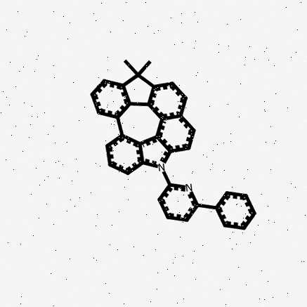 CC1(C)c2cccc3c2-c2c1ccc1ccc4c(c21)c1c-3cccc1n4-c1cccc(-c2ccccc2)n1